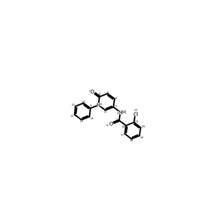 O=C(Nc1ccc(=O)n(-c2ccccc2)c1)c1ccccc1Cl